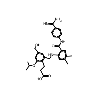 Cc1cc(NCc2cc(CO)cc(OC(C)C)c2CCC(=O)O)c(C(=O)Nc2ccc(C(=N)N)cc2)cc1C